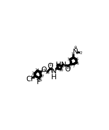 CN(C)Cc1cccc(C(=O)NC23CC(NC(=O)COc4ccc(Cl)c(F)c4)(C2)C3)c1